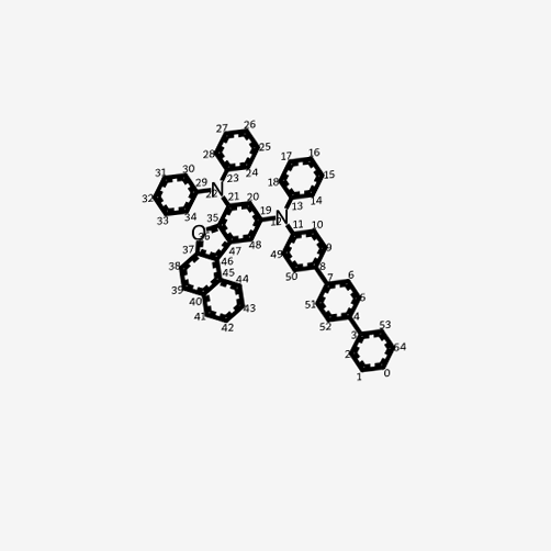 c1ccc(-c2ccc(-c3ccc(N(c4ccccc4)c4cc(N(c5ccccc5)c5ccccc5)c5oc6ccc7ccccc7c6c5c4)cc3)cc2)cc1